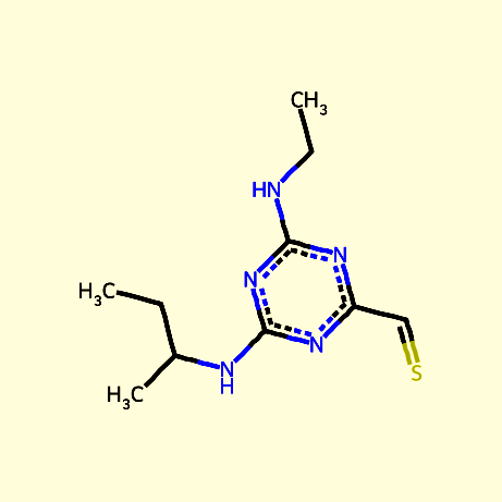 CCNc1nc(C=S)nc(NC(C)CC)n1